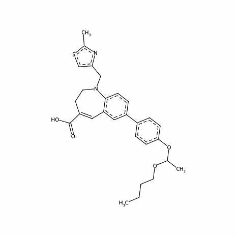 CCCCOC(C)Oc1ccc(-c2ccc3c(c2)C=C(C(=O)O)CCN3Cc2csc(C)n2)cc1